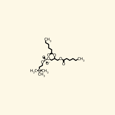 CCCCCC(=O)OCC(COP(=O)([O-])OCC[N+](C)(C)C)OC(=O)CCCCC